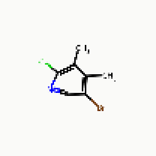 Cc1c(Br)cnc(Cl)c1C